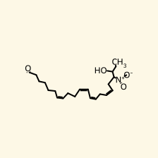 CCC(O)C(C/C=C\C/C=C\C=C/CC/C=C\CCCCC[C]=O)[N+](=O)[O-]